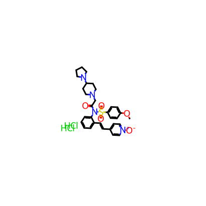 COc1ccc(S(=O)(=O)N(C(=O)CN2CCC(N3CCCC3)CC2)c2ccccc2C=Cc2cc[n+]([O-])cc2)cc1.Cl.Cl